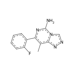 Cc1c(-c2ccccc2F)nc(N)n2cnnc12